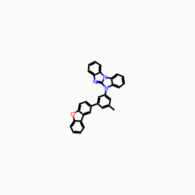 Cc1cc(-c2ccc3oc4ccccc4c3c2)cc(-n2c3ccccc3n3c4ccccc4nc23)c1